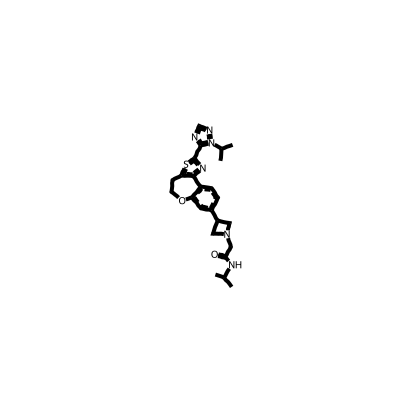 CC(C)NC(=O)CN1CC(c2ccc3c(c2)OCCc2sc(-c4ncnn4C(C)C)nc2-3)C1